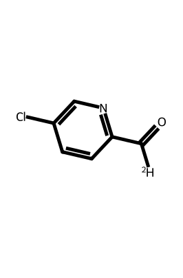 [2H]C(=O)c1ccc(Cl)cn1